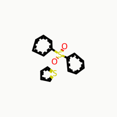 O=S(=O)(c1ccccc1)c1ccccc1.c1ccsc1